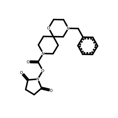 O=C(ON1C(=O)CCC1=O)N1CCC2(CC1)CN(Cc1ccccc1)CCO2